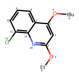 CCOc1cc(OC(C)(C)C)c2cccc(Cl)c2n1